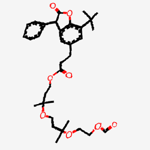 CC(C)(CCOC(=O)CCc1cc2c(c(C(C)(C)C)c1)OC(=O)C2c1ccccc1)OCCC(C)(C)OCCOC=O